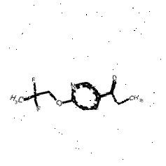 CCC(=O)c1ccc(OCC(C)(F)F)nc1